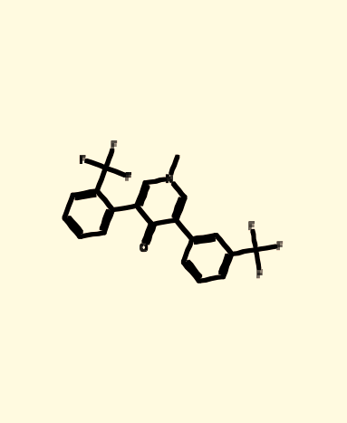 Cn1cc(-c2cccc(C(F)(F)F)c2)c(=O)c(-c2ccccc2C(F)(F)F)c1